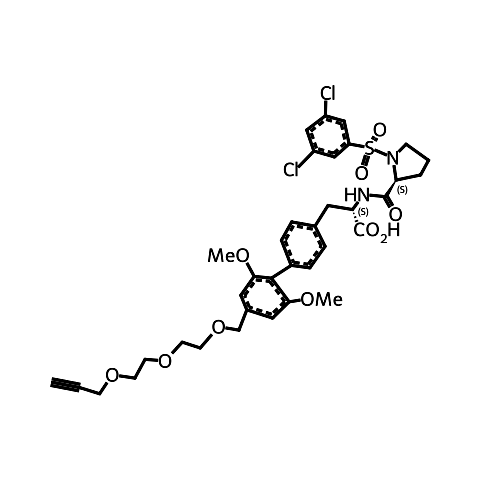 C#CCOCCOCCOCc1cc(OC)c(-c2ccc(C[C@H](NC(=O)[C@@H]3CCCN3S(=O)(=O)c3cc(Cl)cc(Cl)c3)C(=O)O)cc2)c(OC)c1